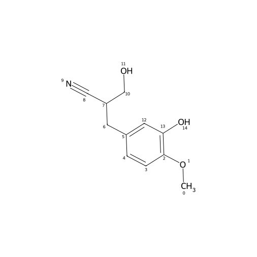 COc1ccc(CC(C#N)CO)cc1O